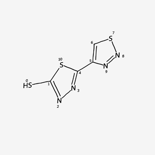 Sc1nnc(-c2csnn2)s1